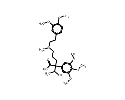 COc1ccc(CCN(C)CCCC(C(=O)O)(c2cc(OC)c(OC)c(OC)c2)C(C)C)cc1OC